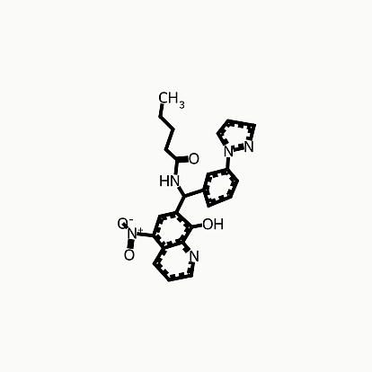 CCCCC(=O)NC(c1cccc(-n2cccn2)c1)c1cc([N+](=O)[O-])c2cccnc2c1O